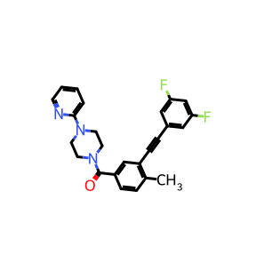 Cc1ccc(C(=O)N2CCN(c3ccccn3)CC2)cc1C#Cc1cc(F)cc(F)c1